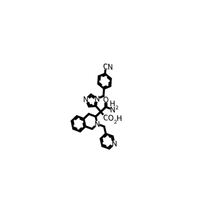 N#Cc1ccc(Cn2cncc2C(C(N)=O)(C(=O)O)C2Cc3ccccc3CN2Cc2cccnc2)cc1